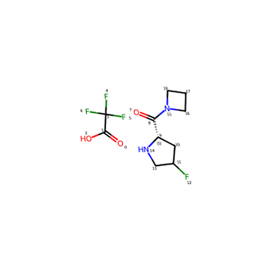 O=C(O)C(F)(F)F.O=C([C@@H]1CC(F)CN1)N1CCC1